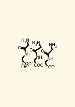 NCC(=O)NCC(=O)[O-].NCC(=O)NCC(=O)[O-].NCC(=O)NCC(=O)[O-].[Fe+3]